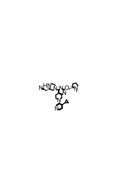 CN1CCC[C@H]1COc1nc2c(c(N3CCN[C@@H](CC#N)C3)n1)CCN(c1cnccc1C1CC1)C2